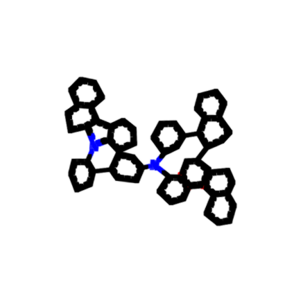 c1ccc(-c2ccc3ccccc3c2-c2cccc(N(c3ccc(-c4ccccc4-n4c5ccccc5c5c6ccccc6ccc54)cc3)c3cccc(-c4cccc5ccccc45)c3)c2)cc1